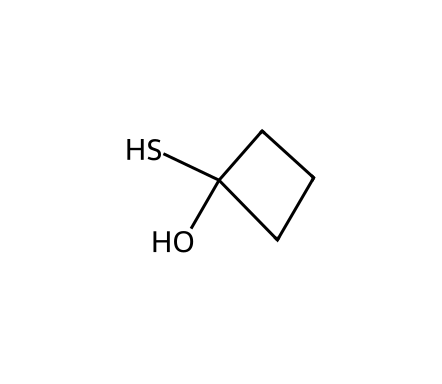 OC1(S)CCC1